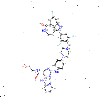 O=C(NCCO)c1cnc(Nc2ccc(N3CCN(Cc4c(F)cc(-c5[nH]c6cc(F)cc7c6c5CCNC7=O)cc4F)CC3)cc2)nc1Nc1ccccn1